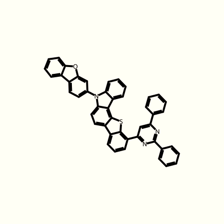 c1ccc(-c2cc(-c3cccc4c3sc3c4ccc4c3c3ccccc3n4-c3ccc4c(c3)oc3ccccc34)nc(-c3ccccc3)n2)cc1